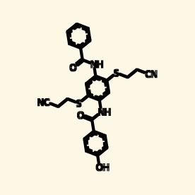 N#CCCSc1cc(NC(=O)c2ccc(O)cc2)c(SCCC#N)cc1NC(=O)c1ccccc1